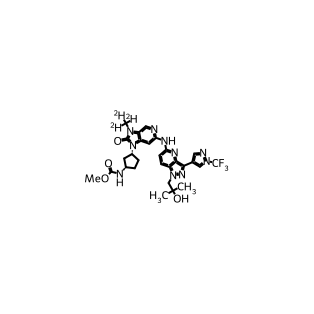 [2H]C([2H])([2H])n1c(=O)n([C@@H]2CC[C@@H](NC(=O)OC)C2)c2cc(Nc3ccc4c(n3)c(-c3cnn(C(F)(F)F)c3)nn4CC(C)(C)O)ncc21